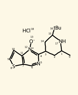 CC1CC(c2ncc3sccc3[n+]2[O-])CC(C(C)(C)C)N1.Cl